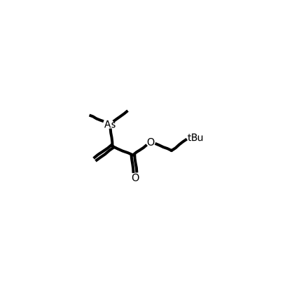 C=C(C(=O)OCC(C)(C)C)[As](C)C